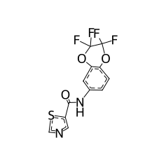 O=C(Nc1ccc2c(c1)OC(F)(F)C(F)(F)O2)c1cncs1